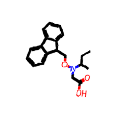 CCC(C)N(CC(=O)O)OCC1c2ccccc2-c2ccccc21